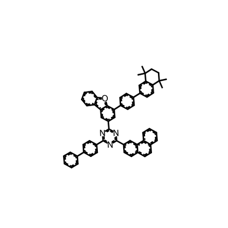 CC1(C)CCC(C)(C)c2cc(-c3ccc(-c4cc(-c5nc(-c6ccc(-c7ccccc7)cc6)nc(-c6ccc7ccc8ccccc8c7c6)n5)cc5c4oc4ccccc45)cc3)ccc21